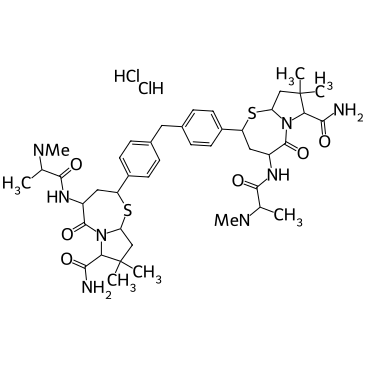 CNC(C)C(=O)NC1CC(c2ccc(Cc3ccc(C4CC(NC(=O)C(C)NC)C(=O)N5C(CC(C)(C)C5C(N)=O)S4)cc3)cc2)SC2CC(C)(C)C(C(N)=O)N2C1=O.Cl.Cl